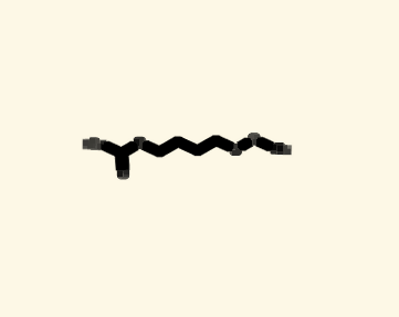 CCCCC(=O)OCCCCOOC(C)(C)C